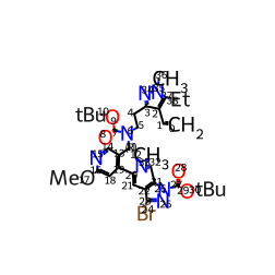 C=Cc1c(CCN(C(=O)OC(C)(C)C)[C@H](C)c2cnc(OC)cc2-c2cc3c(Br)nn(C(=O)OC(C)(C)C)c3cn2)nn(C)c1CC